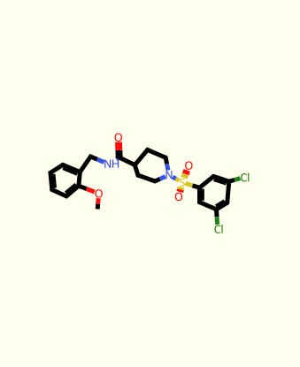 COc1ccccc1CNC(=O)C1CCN(S(=O)(=O)c2cc(Cl)cc(Cl)c2)CC1